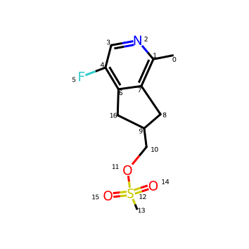 Cc1ncc(F)c2c1CC(COS(C)(=O)=O)C2